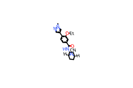 CCOc1cc(C(=O)N[C@@H]2C[C@@H]3CC[C@H]2N3C#N)ccc1-c1cnn(C)c1